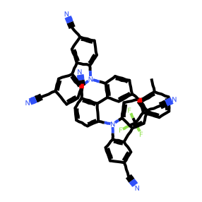 Cc1cccc(C(F)(F)F)c1-c1ccc(-n2c3ccc(C#N)cc3c3cc(C#N)ccc32)c(-c2c(C#N)cccc2-n2c3ccc(C#N)cc3c3cc(C#N)ccc32)c1